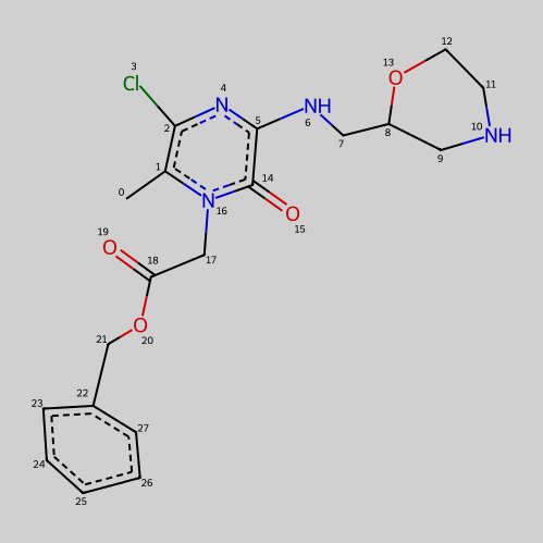 Cc1c(Cl)nc(NCC2CNCCO2)c(=O)n1CC(=O)OCc1ccccc1